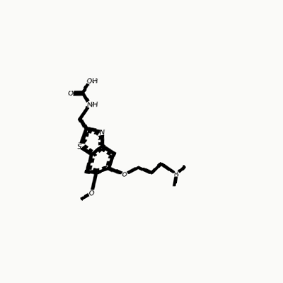 COc1cc2sc(CNC(=O)O)nc2cc1OCCCN(C)C